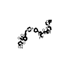 Cn1c(=O)n(C2CCC(=O)NC2=O)c2cccc(C#CCN3CCN(C[C@H]4CC[C@H](n5cc(NC(=O)c6cnn7ccc(N8CCOC9(CCC9)C8)nc67)c(C(F)F)n5)CC4)CC3)c21